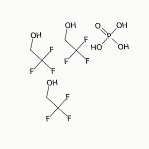 O=P(O)(O)O.OCC(F)(F)F.OCC(F)(F)F.OCC(F)(F)F